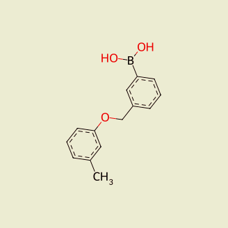 Cc1cccc(OCc2cccc(B(O)O)c2)c1